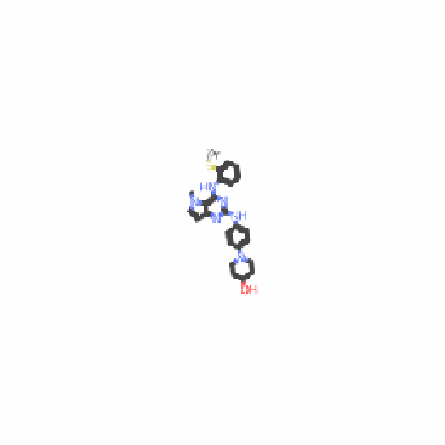 CC(C)Sc1ccccc1Nc1nc(Nc2ccc(N3CCC(O)CC3)cc2)nc2ccn(C)c12